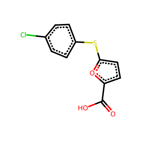 O=C(O)c1ccc(Sc2ccc(Cl)cc2)o1